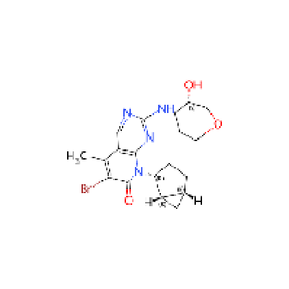 Cc1c(Br)c(=O)n([C@@H]2CC[C@@H]3C[C@@H]32)c2nc(NC3CCOC[C@H]3O)ncc12